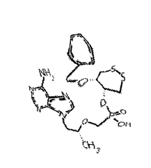 C[C@H](Cn1cnc2c(N)ncnc21)OCP(=O)(O)O[C@H]1CSSC[C@H]1OCc1ccccc1